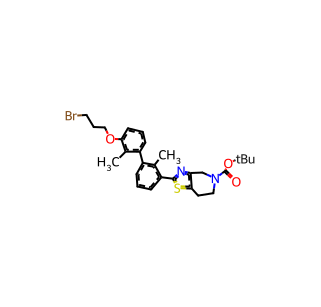 Cc1c(OCCCBr)cccc1-c1cccc(-c2nc3c(s2)CCN(C(=O)OC(C)(C)C)C3)c1C